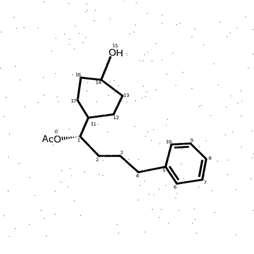 CC(=O)O[C@@H](CCCc1ccccc1)C1CCC(O)CC1